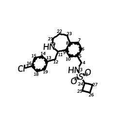 O=S(=O)(NCc1ccc2c(c1)C(Cc1ccc(Cl)cc1)NCCC2)C1CCC1